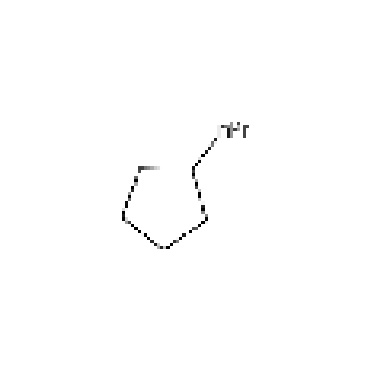 [CH]CCC1CCCC1